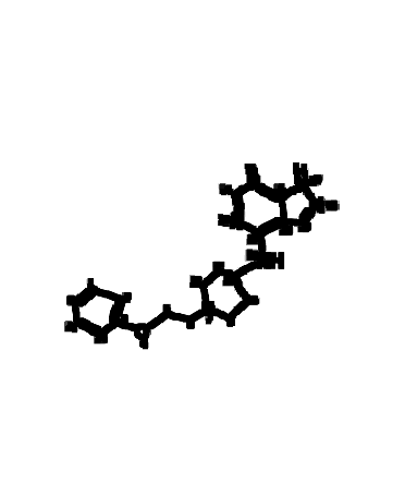 c1ccc(OCCN2CCC(Nc3ncnc4[nH]ncc34)CC2)cc1